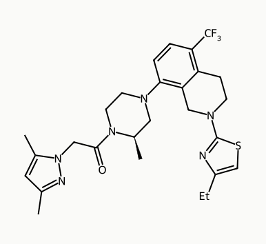 CCc1csc(N2CCc3c(C(F)(F)F)ccc(N4CCN(C(=O)Cn5nc(C)cc5C)[C@H](C)C4)c3C2)n1